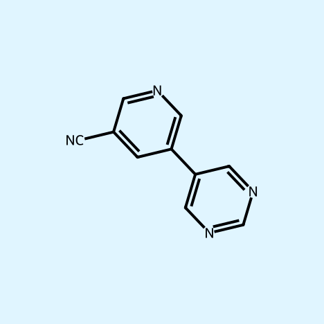 N#Cc1cncc(-c2cncnc2)c1